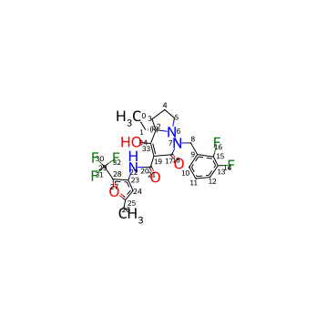 CC[C@]12CCCN1N(Cc1cccc(F)c1F)C(=O)C(C(=O)Nc1cc(C)oc1C(F)(F)F)=C2O